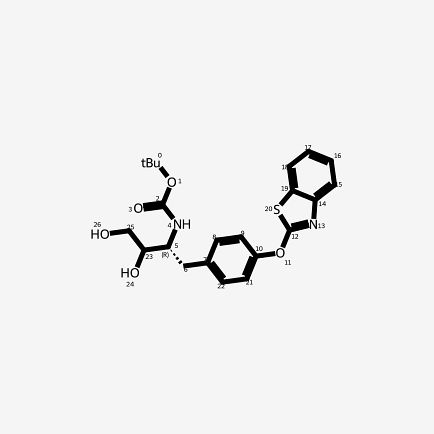 CC(C)(C)OC(=O)N[C@H](Cc1ccc(Oc2nc3ccccc3s2)cc1)C(O)CO